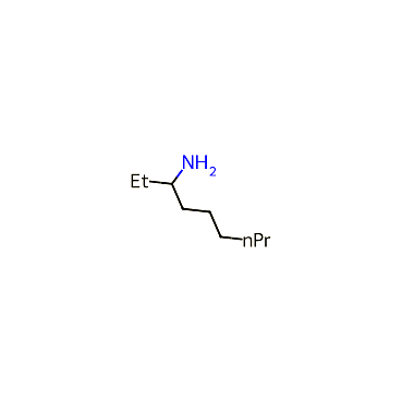 [CH2]CC(N)CCCCCC